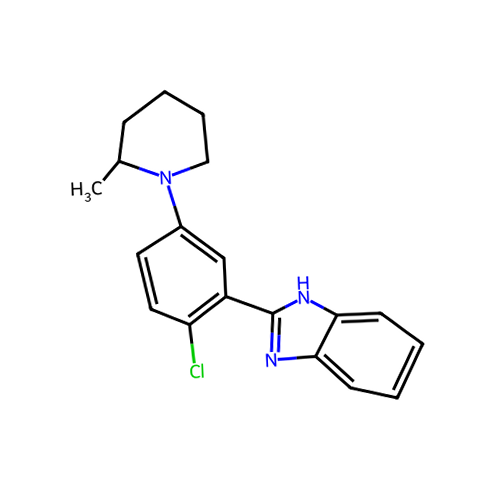 CC1CCCCN1c1ccc(Cl)c(-c2nc3ccccc3[nH]2)c1